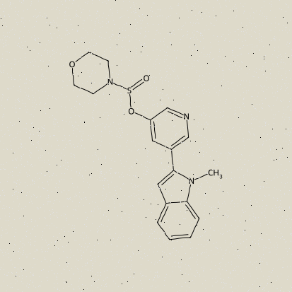 Cn1c(-c2cncc(OS(=O)N3CCOCC3)c2)cc2ccccc21